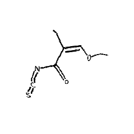 COC=C(C)C(=O)N=C=S